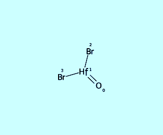 [O]=[Hf]([Br])[Br]